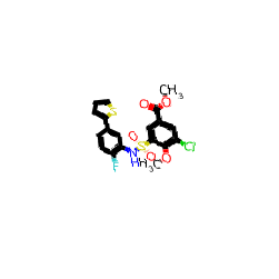 COC(=O)c1cc(Cl)c(OC)c(S(=O)(=O)Nc2cc(-c3cccs3)ccc2F)c1